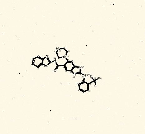 O=C(Nc1nc2ccccc2s1)c1cc2nc(Nc3ccccc3C(F)(F)F)[nH]c2cc1N1CCNCC1